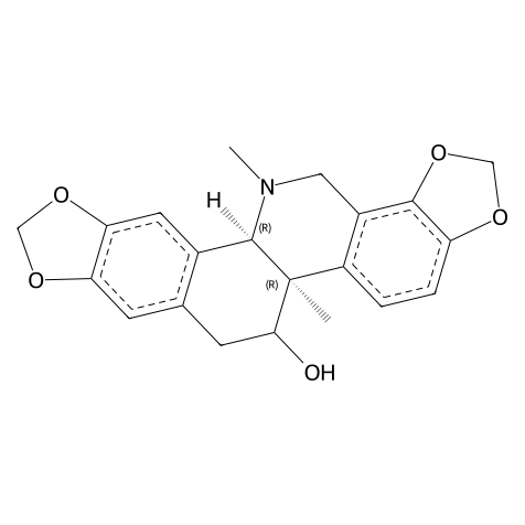 CN1Cc2c(ccc3c2OCO3)[C@@]2(C)C(O)Cc3cc4c(cc3[C@@H]12)OCO4